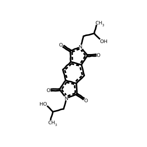 CC(O)Cn1c(=O)c2cc3c(=O)n(CC(C)O)c(=O)c3cc2c1=O